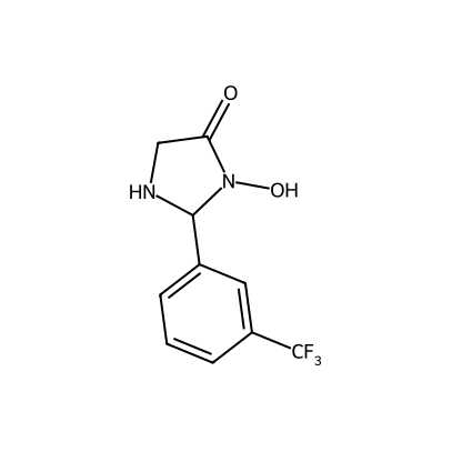 O=C1CNC(c2cccc(C(F)(F)F)c2)N1O